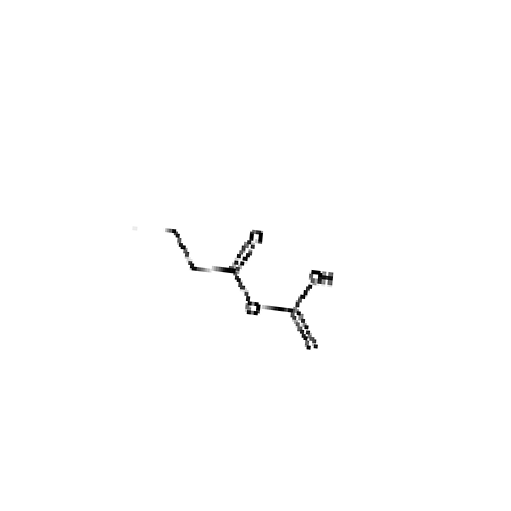 C=C(O)OC(=O)CCC